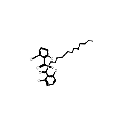 CCCCCCCCCCCCP(=O)(C(=O)c1c(Cl)cccc1Cl)C(=O)c1c(Cl)cccc1Cl